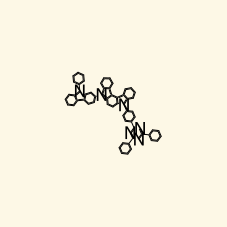 c1ccc(-c2nc(-c3ccccc3)nc(-c3ccc(-n4c5ccccc5c5c6c7ccccc7n(-c7ccc8c9ccccc9n(-c9ccccc9)c8c7)c6ccc54)cc3)n2)cc1